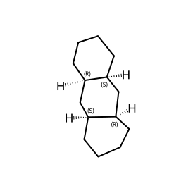 C1CC[C@H]2C[C@H]3CCCC[C@H]3C[C@H]2C1